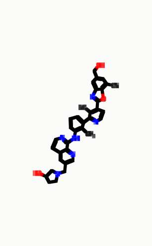 Cc1c(Nc2nccc3cc(CN4CC[C@@H](O)C4)cnc23)cccc1-c1nccc(-c2nc3cc(CO)cc(C#N)c3o2)c1C#N